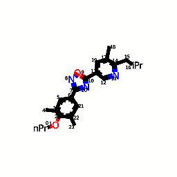 CCCOc1c(C)cc(-c2noc(-c3cnc(CC(C)C)c(C)c3)n2)cc1C